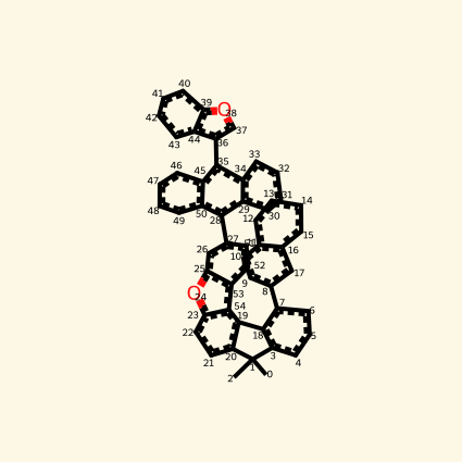 CC1(C)c2cccc(-c3ccc4ccccc4c3)c2-c2c1ccc1oc3cc(-c4c5ccccc5c(-c5coc6ccccc56)c5ccccc45)ccc3c21